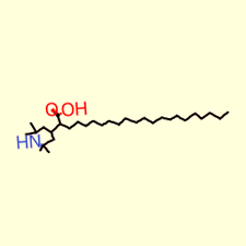 CCCCCCCCCCCCCCCCCCCCC(C(=O)O)C1CC(C)(C)NC(C)(C)C1